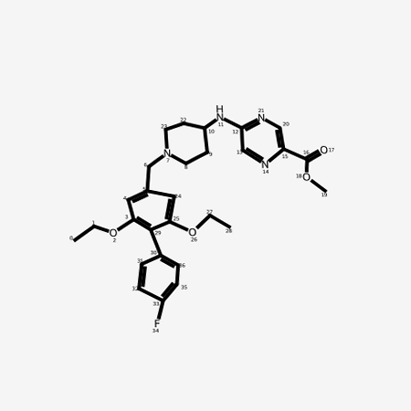 CCOc1cc(CN2CCC(Nc3cnc(C(=O)OC)cn3)CC2)cc(OCC)c1-c1ccc(F)cc1